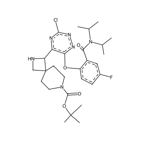 CC(C)N(C(=O)c1cc(F)ccc1Oc1nnc(Cl)nc1C1NCC12CCN(C(=O)OC(C)(C)C)CC2)C(C)C